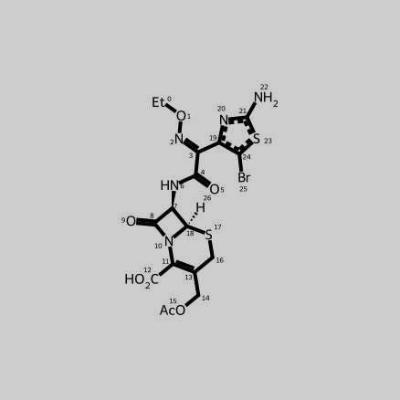 CCON=C(C(=O)N[C@@H]1C(=O)N2C(C(=O)O)=C(COC(C)=O)CS[C@H]12)c1nc(N)sc1Br